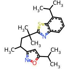 CC(C)c1cc(C(C)CC(C)(C)c2nc3cccc(C(C)C)c3s2)no1